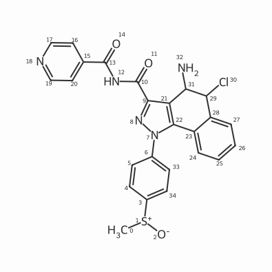 C[S+]([O-])c1ccc(-n2nc(C(=O)NC(=O)c3ccncc3)c3c2-c2ccccc2C(Cl)C3N)cc1